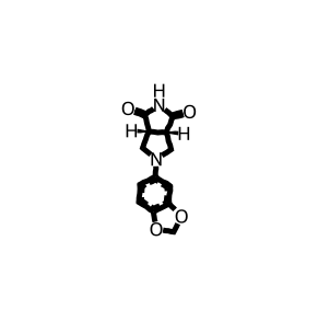 O=C1NC(=O)[C@@H]2CN(c3ccc4c(c3)OCO4)C[C@H]12